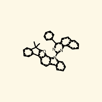 CC1(C)c2ccccc2-c2c1oc1c2ccc2c3ccccc3n(-c3nc(-c4ccccc4)c4ccc5ccccc5c4n3)c21